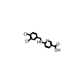 O=C(O)c1ccc(NCc2ccc(Cl)c(Cl)c2)nc1